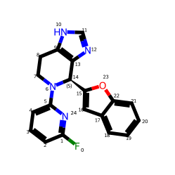 Fc1cccc(N2CCc3[nH]cnc3[C@H]2c2cc3ccccc3o2)n1